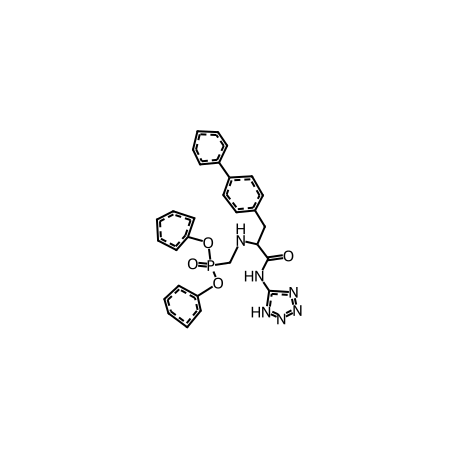 O=C(Nc1nnn[nH]1)C(Cc1ccc(-c2ccccc2)cc1)NCP(=O)(Oc1ccccc1)Oc1ccccc1